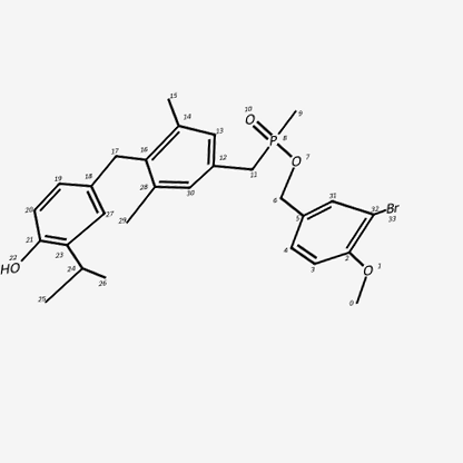 COc1ccc(COP(C)(=O)Cc2cc(C)c(Cc3ccc(O)c(C(C)C)c3)c(C)c2)cc1Br